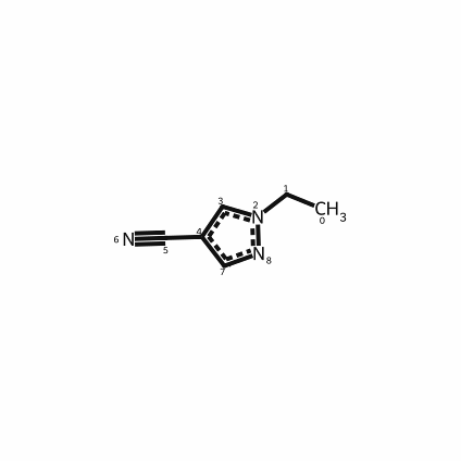 CCn1cc(C#N)[c]n1